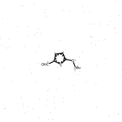 CCCCOc1ccc(C=O)s1